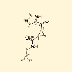 O=C(c1cnc[nH]1)[C@H]1C[C@H]1C(=O)NCC1CC1